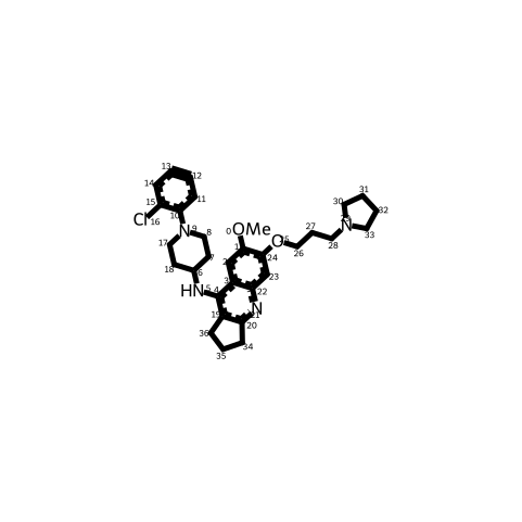 COc1cc2c(NC3CCN(c4cc#ccc4Cl)CC3)c3c(nc2cc1OCCCN1CCCC1)CCC3